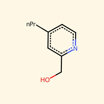 CCCc1ccnc(CO)c1